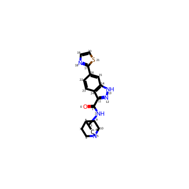 O=C(NC1CN2CCC1CC2)c1n[nH]c2cc(-c3nccs3)ccc12